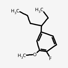 CCCC(CC)c1ccc(F)c(OC)c1